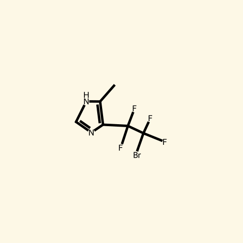 Cc1[nH]cnc1C(F)(F)C(F)(F)Br